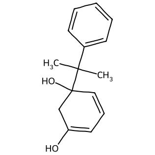 CC(C)(c1ccccc1)C1(O)C=CC=C(O)C1